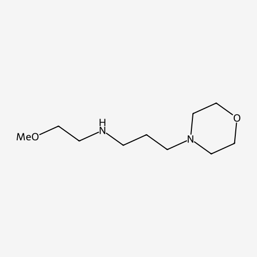 COCCNCCCN1CCOCC1